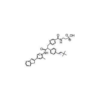 Cc1cc(C2=Cc3ccccc3C2)ccc1NC(=O)C(Cc1ccc(C(=O)NCCS(=O)(=O)O)cc1)c1ccc(/C=C/C(C)(C)C)cc1